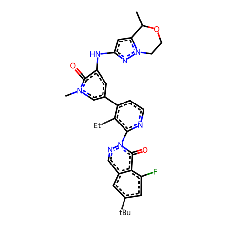 CCc1c(-c2cc(Nc3cc4n(n3)CCOC4C)c(=O)n(C)c2)ccnc1-n1ncc2cc(C(C)(C)C)cc(F)c2c1=O